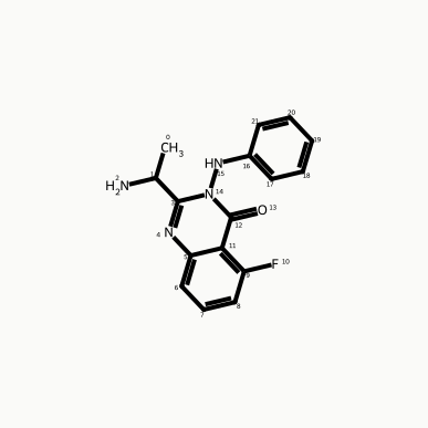 CC(N)c1nc2cccc(F)c2c(=O)n1Nc1ccccc1